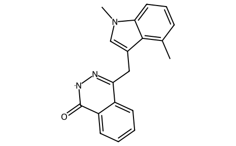 Cc1cccc2c1c(CC1=N[N]C(=O)c3ccccc31)cn2C